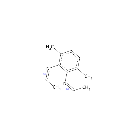 C/C=N\c1c(C)ccc(C)c1/N=C\C